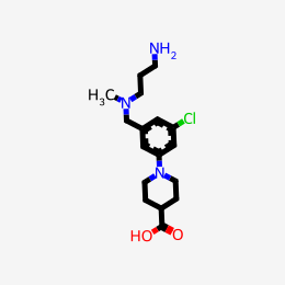 CN(CCCN)Cc1cc(Cl)cc(N2CCC(C(=O)O)CC2)c1